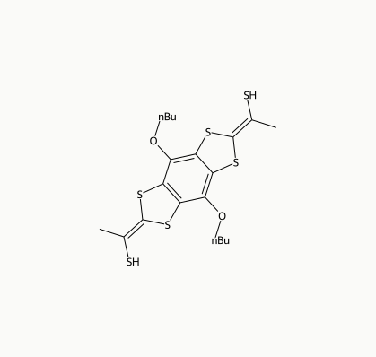 CCCCOc1c2c(c(OCCCC)c3c1SC(=C(C)S)S3)SC(=C(C)S)S2